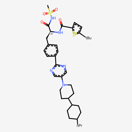 CCCC1CCC(C2CCN(c3cnc(-c4ccc(C[C@H](NC(=O)c5ccc(C(C)(C)C)s5)C(=O)NS(C)(=O)=O)cc4)nc3)CC2)CC1